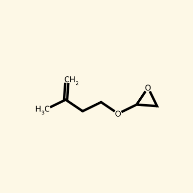 C=C(C)CCOC1CO1